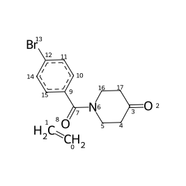 C=C.O=C1CCN(C(=O)c2ccc(Br)cc2)CC1